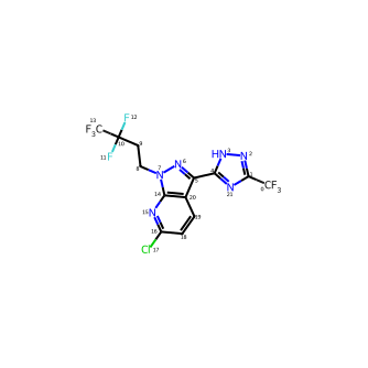 FC(F)(F)c1n[nH]c(-c2nn(CCC(F)(F)C(F)(F)F)c3nc(Cl)ccc23)n1